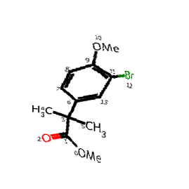 COC(=O)C(C)(C)c1ccc(OC)c(Br)c1